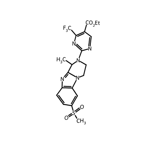 CCOC(=O)c1cnc(N2CCn3c(nc4ccc(S(C)(=O)=O)cc43)C2C)nc1C(F)(F)F